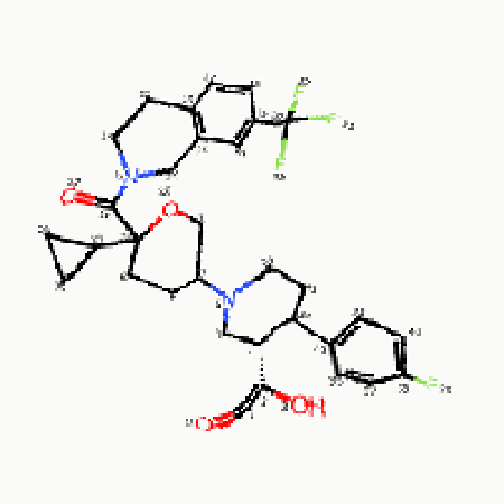 O=C=C(O)[C@@H]1CN(C2CCC(C(=O)N3CCc4ccc(C(F)(F)F)cc4C3)(C3CC3)OC2)CCC1c1ccc(F)cc1